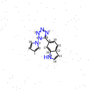 c1ccn(-n2nnnc2-c2ccc3cc[nH]c3c2)c1